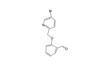 O=Cc1ccccc1OCc1ccc(Br)cn1